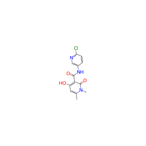 Cc1cc(O)c(C(=O)Nc2ccc(Cl)nc2)c(=O)n1C